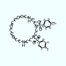 Cc1ccc(S(=O)(=O)N2CCNCCOCCOCCOCCNCCN(S(=O)(=O)c3ccc(C)cc3)CC2)cc1